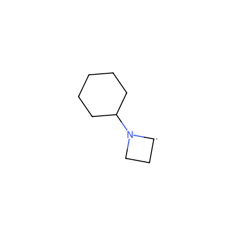 [CH]1CCN1C1CCCCC1